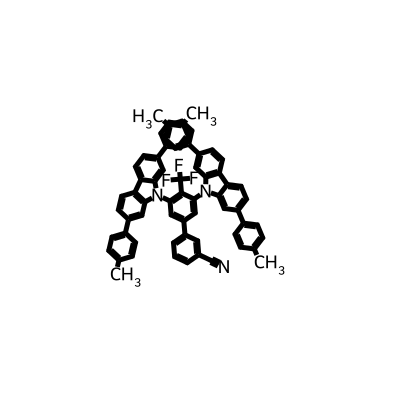 Cc1ccc(-c2ccc3c4ccc(-c5ccc(C)cc5)cc4n(-c4cc(-c5cccc(C#N)c5)cc(-n5c6cc(-c7ccc(C)cc7)ccc6c6ccc(-c7ccc(C)cc7)cc65)c4C(F)(F)F)c3c2)cc1